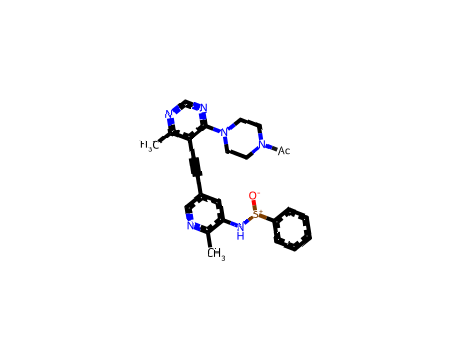 CC(=O)N1CCN(c2ncnc(C)c2C#Cc2cnc(C)c(N[S+]([O-])c3ccccc3)c2)CC1